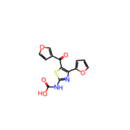 O=C(O)Nc1nc(-c2ccco2)c(C(=O)c2ccoc2)s1